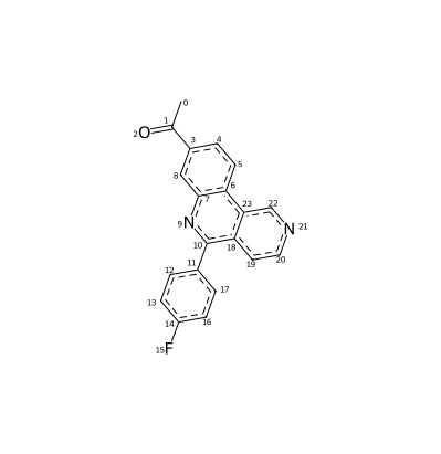 CC(=O)c1ccc2c(c1)nc(-c1ccc(F)cc1)c1ccncc12